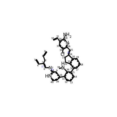 C=CC/C(C=C)=C\N=c1\cc(-c2cccc(-c3cccc4c3CC/C4=C\c3nc(N)c(C=C)cc3Cl)c2NC)cc[nH]1